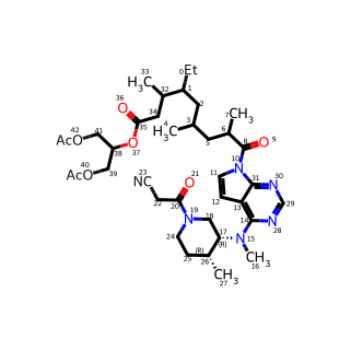 CCC(CC(C)CC(C)C(=O)n1ccc2c(N(C)[C@H]3CN(C(=O)CC#N)CC[C@H]3C)ncnc21)C(C)CC(=O)OC(COC(C)=O)COC(C)=O